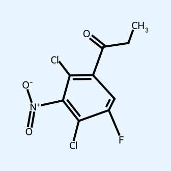 CCC(=O)c1cc(F)c(Cl)c([N+](=O)[O-])c1Cl